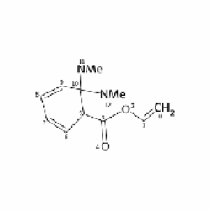 C=COC(=O)C1C=CC=CC1(NC)NC